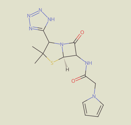 CC1(C)S[C@@H]2C(NC(=O)Cn3cccc3)C(=O)N2C1c1nnn[nH]1